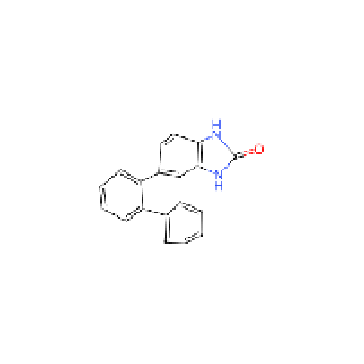 O=c1[nH]c2ccc(-c3ccccc3-c3ccccc3)cc2[nH]1